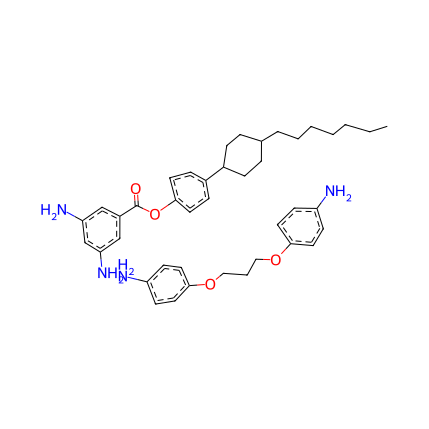 CCCCCCCC1CCC(c2ccc(OC(=O)c3cc(N)cc(N)c3)cc2)CC1.Nc1ccc(OCCCOc2ccc(N)cc2)cc1